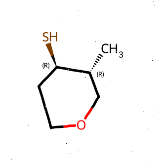 C[C@@H]1COCC[C@H]1S